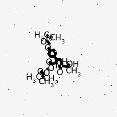 C[C@@H](O)[C@H]1C(=O)N2C(C(=O)OCOC(=O)C(C)(C)C)=C(c3ccc(OCC(=O)N(C)C)cc3)C[C@H]12